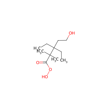 CCC(CC)(CCO)C(C)(C)C(=O)OO